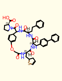 O=C1COC2=CCC(C=C2)C(C(=O)N2CCC[C@H]2C(=O)O)NC(=O)[C@@H](CCc2ccccc2)NC(=O)[C@H](Cc2ccc(-c3ccccc3)cc2)NC(=O)[C@@H](CC2CC=CS2)N1